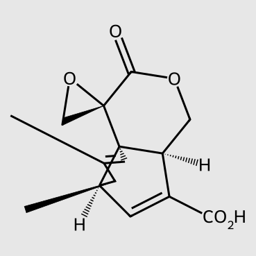 CC1=C[C@@]23[C@H](C=C(C(=O)O)[C@@H]2COC(=O)[C@]32CO2)[C@@H]1C